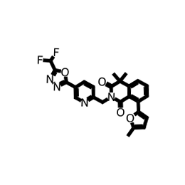 Cc1ccc(-c2cccc3c2C(=O)N(Cc2ccc(-c4nnc(C(F)F)o4)cn2)C(=O)C3(C)C)o1